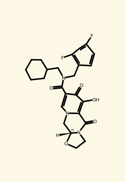 O=C(c1cn2c(c(O)c1=O)C(=O)N1CCO[C@@H]1C2)N(Cc1ccc(F)cc1F)CC1CCCCC1